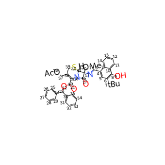 CO[C@@]1(/N=C/c2cc(C(C)(C)C)c(O)c3ccccc23)C(=O)N2C(C(=O)OC(c3ccccc3)c3ccccc3)=C(COC(C)=O)CS[C@@H]21